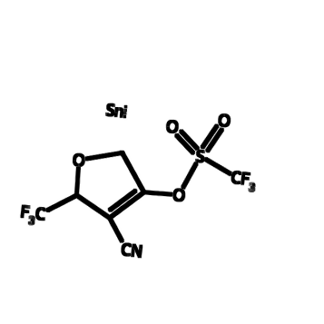 N#CC1=C(OS(=O)(=O)C(F)(F)F)COC1C(F)(F)F.[Sn]